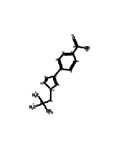 CC(C)(C)Cn1cc(-c2ccc(C(=O)O)cc2)cn1